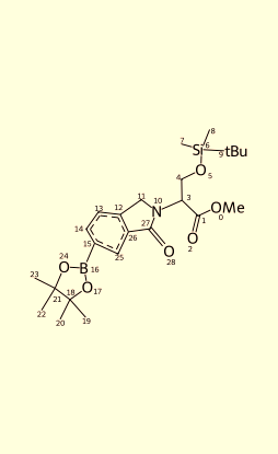 COC(=O)C(CO[Si](C)(C)C(C)(C)C)N1Cc2ccc(B3OC(C)(C)C(C)(C)O3)cc2C1=O